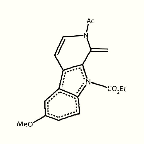 C=C1c2c(c3cc(OC)ccc3n2C(=O)OCC)C=CN1C(C)=O